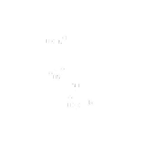 CN(C)c1cccc2c(S(=O)(=O)NCCNC(=O)/C=C(/Br)C(=O)O)cccc12